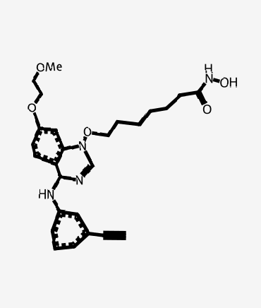 C#Cc1cccc(NC2N=CN(OCCCCCCC(=O)NO)c3cc(OCCOC)ccc32)c1